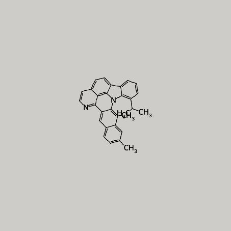 Cc1ccc2cc3c4nccc5ccc6c7cccc(C(C)C)c7n(c3c(C)c2c1)c6c54